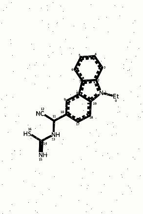 CCn1c2ccccc2c2cc(C(C#N)NC(=N)S)ccc21